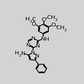 COc1cc(Nc2ncnc(-n3nc(-c4ccccc4)cc3N)n2)cc(OC)c1OC